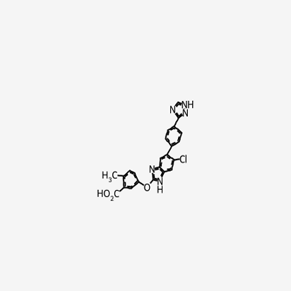 Cc1ccc(Oc2nc3cc(-c4ccc(-c5nc[nH]n5)cc4)c(Cl)cc3[nH]2)cc1C(=O)O